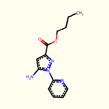 CCCCOC(=O)c1cc(N)n(-c2ccccn2)n1